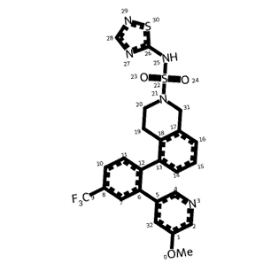 COc1cncc(-c2cc(C(F)(F)F)ccc2-c2cccc3c2CCN(S(=O)(=O)Nc2ncns2)C3)c1